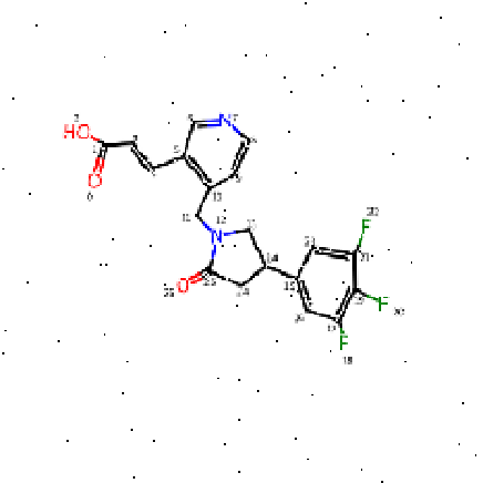 O=C(O)/C=C/c1cnccc1CN1CC(c2cc(F)c(F)c(F)c2)CC1=O